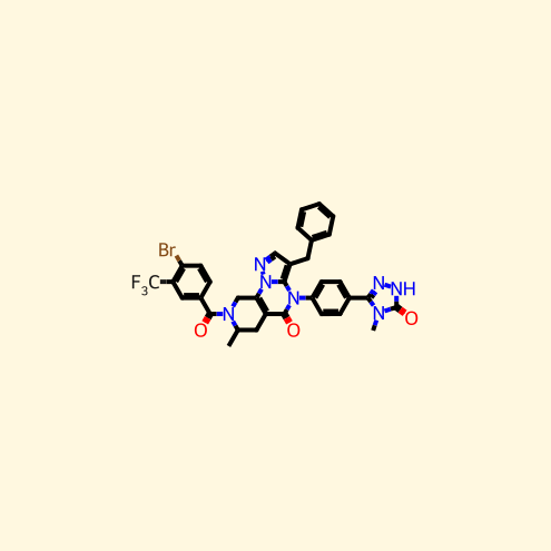 CC1Cc2c(n3ncc(Cc4ccccc4)c3n(-c3ccc(-c4n[nH]c(=O)n4C)cc3)c2=O)CN1C(=O)c1ccc(Br)c(C(F)(F)F)c1